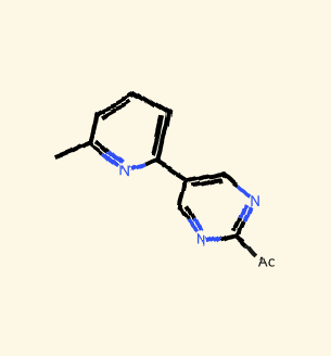 CC(=O)c1ncc(-c2cccc(C)n2)cn1